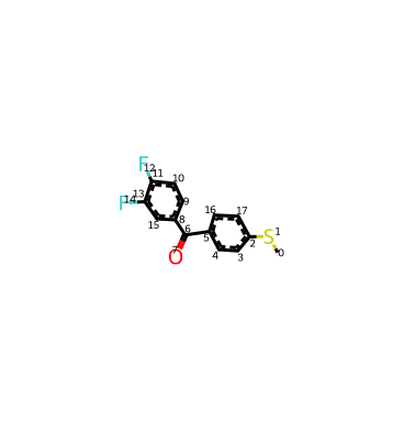 CSc1ccc(C(=O)c2ccc(F)c(F)c2)cc1